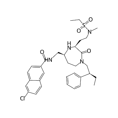 CC[C@H](CN1CC[C@@H](CNC(=O)c2ccc3cc(Cl)ccc3c2)N[C@@H](CCN(C)S(=O)(=O)CC)C1=O)c1ccccc1